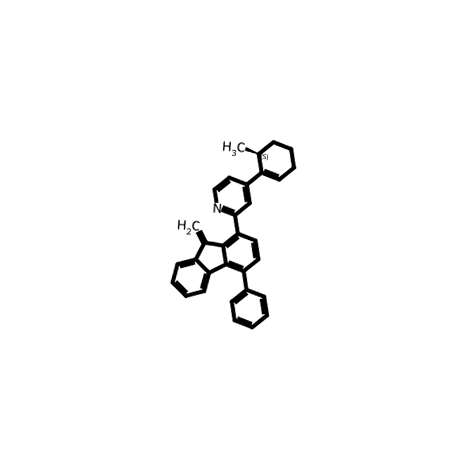 C=C1c2ccccc2-c2c(-c3ccccc3)ccc(-c3cc(C4=CCCC[C@@H]4C)ccn3)c21